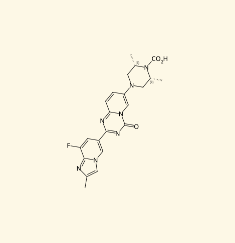 Cc1cn2cc(-c3nc(=O)n4cc(N5C[C@@H](C)N(C(=O)O)[C@@H](C)C5)ccc4n3)cc(F)c2n1